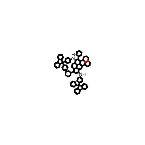 c1ccc(-c2c(Nc3ccc(C4(c5ccccc5)c5ccccc5-c5ccccc54)cc3)c3ccc4c(C5CCCCC5)cc(Nc5ccc(C6(c7ccccc7)c7ccccc7-c7ccccc76)cc5)c5cc(-c6ccccc6)c(c2C2CCCCC2)c3c54)cc1